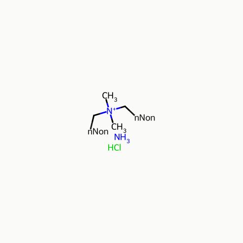 CCCCCCCCCC[N+](C)(C)CCCCCCCCCC.Cl.N